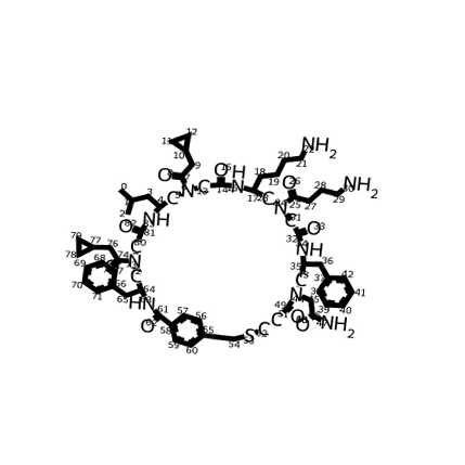 CC(C)CC1CN(C(=O)CC2CC2)CC(=O)NC(CCCCN)CN(C(=O)CCCN)CC(=O)NC(Cc2ccccc2)CN(CC(N)=O)C(=O)CCSCc2ccc(cc2)C(=O)NC(Cc2ccccc2)CN(C(=O)CC2CC2)CC(=O)N1